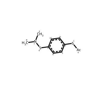 CC(=O)Sc1ccc(SN(C)C)cc1